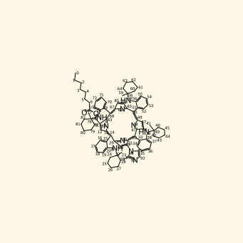 CCCCCCCC(=O)OCC1=CC2=C(c3ccccc3NC3(C)CCCCC3)C3=NC(=C(c4ccccc4NC4(C)CCCCC4)C4=NC(=C(c5ccccc5NC5(C)CCCCC5)C5=NC(=C(c6ccccc6NC6(C)CCCCC6)C1=N2)C=C5)C=C4)C(n1ccnc1C)=C3